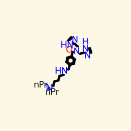 CCCN(CCC)CCCCCNCc1ccc(C(=O)N(Cc2ncc[nH]2)Cc2ncc[nH]2)cc1